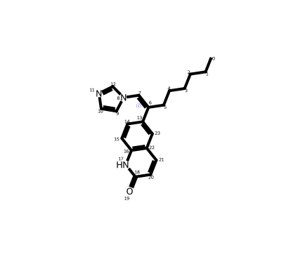 CCCCCC/C(=C/n1ccnc1)c1ccc2[nH]c(=O)ccc2c1